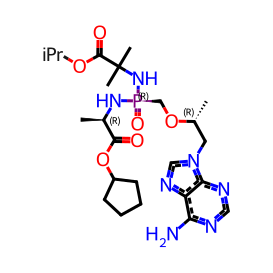 CC(C)OC(=O)C(C)(C)N[P@@](=O)(CO[C@H](C)Cn1cnc2c(N)ncnc21)N[C@H](C)C(=O)OC1CCCC1